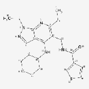 CCc1nc2c(cnn2CC)c(NC2CCOCC2)c1CNC(=O)c1ccsc1